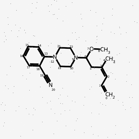 C=C/C=C(/C)CC(OC)N1CCN(c2ccccc2C#N)CC1